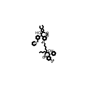 CCCCC1(CCCCCN(C)c2ccc3c(c2)[C@@H](c2cccc(C[n+]4ccccc4)c2)[C@@H](O)C(CCCC)(CCCC)CS3(=O)=O)C[S@+]([O-])c2ccc(N(C)C)cc2[C@@H](c2ccccc2)[C@H]1O